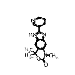 CN1C(=O)OC(C)(C)c2cc3[nH]c(-c4cccnc4)nc3cc21